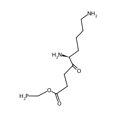 NCCCC[C@H](N)C(=O)CCC(=O)OCP